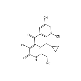 [C-]#[N+]Cc1[nH]c(=O)c(C(C)C)c(C(=O)c2cc(C#N)cc(C#N)c2)c1CC1CC1